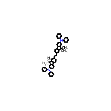 CC1(C)C2=CC(N(c3ccccc3)C3C=CC=CC3)CC=C2c2ccc(CCc3ccc4c(c3)C(C)(C)c3cc(N(C5=CC=CCC5)c5ccccc5)ccc3-4)cc21